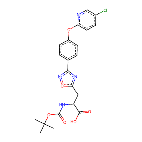 CC(C)(C)OC(=O)NC(Cc1nc(-c2ccc(Oc3ccc(Cl)cn3)cc2)no1)C(=O)O